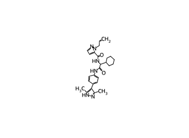 C=CCn1nccc1C(=O)N[C@H](C(=O)Nc1ccc(-c2c(C)n[nH]c2C)cc1)C1CCCCC1